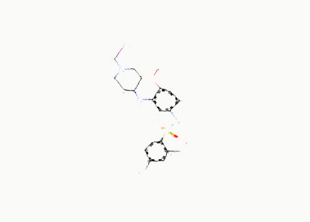 COc1ccc(NS(=O)(=O)c2ccc(Cl)cc2Cl)cc1NC1CCN(CI)CC1